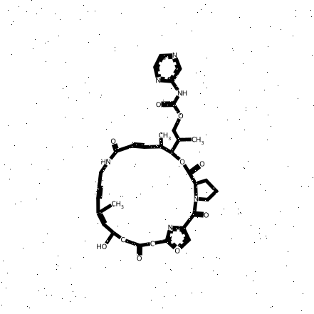 CC1=C\C(O)CC(=O)Cc2nc(co2)C(=O)N2CCCC2C(=O)OC(C(C)COC(=O)Nc2cnccn2)C(C)/C=C/C(=O)NC\C=C\1